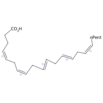 CCCCC/C=C\C/C=C/C/C=C/C/C=C\C/C=C\CCC(=O)O